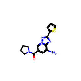 Nc1cc(C(=O)N2CCCC2)cn2nc(-c3cccs3)nc12